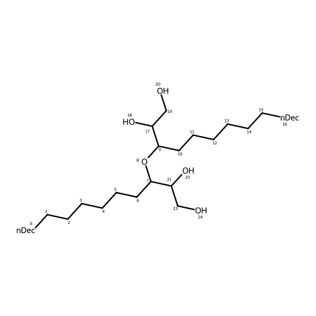 CCCCCCCCCCCCCCCCC(OC(CCCCCCCCCCCCCCCC)C(O)CO)C(O)CO